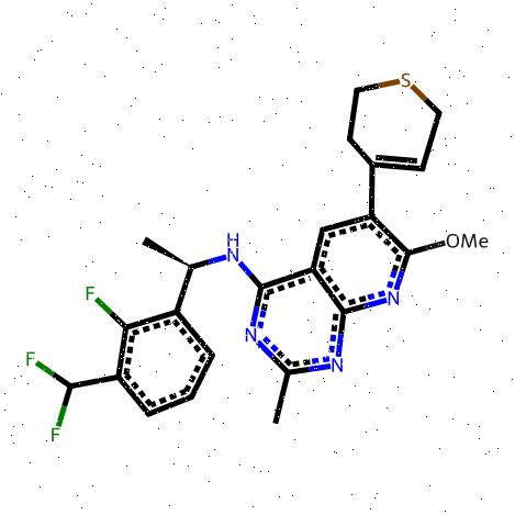 COc1nc2nc(C)nc(N[C@H](C)c3cccc(C(F)F)c3F)c2cc1C1=CCSCC1